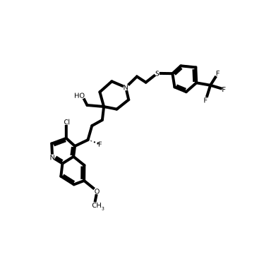 COc1ccc2ncc(Cl)c([C@@H](F)CCC3(CO)CCN(CCSc4ccc(C(F)(F)F)cc4)CC3)c2c1